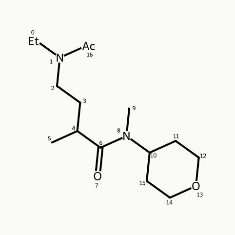 CCN(CCC(C)C(=O)N(C)C1CCOCC1)C(C)=O